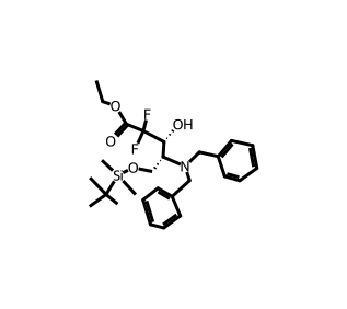 CCOC(=O)C(F)(F)[C@H](O)[C@@H](CO[Si](C)(C)C(C)(C)C)N(Cc1ccccc1)Cc1ccccc1